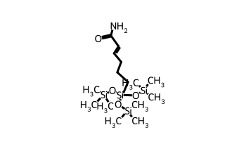 C[Si](C)(C)O[Si](CCCC=CC(N)=O)(O[Si](C)(C)C)O[Si](C)(C)C